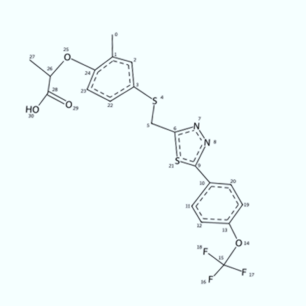 Cc1cc(SCc2nnc(-c3ccc(OC(F)(F)F)cc3)s2)ccc1OC(C)C(=O)O